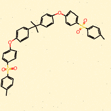 Cc1ccc(S(=O)(=O)c2ccc(Oc3ccc(C(C)(C)c4ccc(Oc5ccc(S(=O)(=O)c6ccc(C)cc6)cc5)cc4)cc3)cc2)cc1